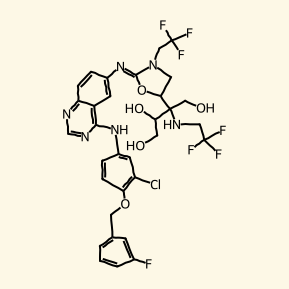 OCC(O)C(CO)(NCC(F)(F)F)C1CN(CC(F)(F)F)C(=Nc2ccc3ncnc(Nc4ccc(OCc5cccc(F)c5)c(Cl)c4)c3c2)O1